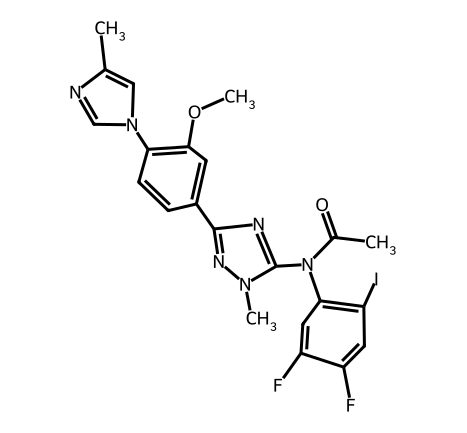 COc1cc(-c2nc(N(C(C)=O)c3cc(F)c(F)cc3I)n(C)n2)ccc1-n1cnc(C)c1